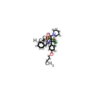 CCCCOc1ccc(C(N(Cc2ccccc2)[S+]([O-])C(C)(C)C)(C(F)(F)F)C(F)(F)C(=O)N2CCCCC2)cc1